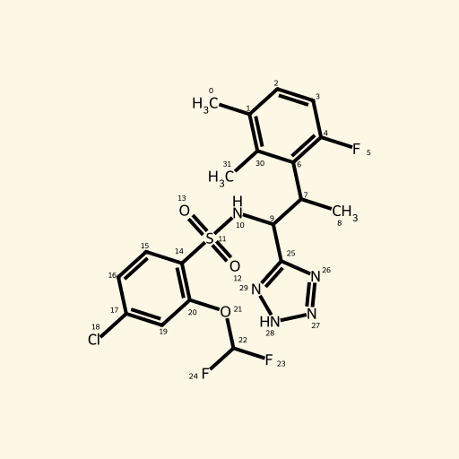 Cc1ccc(F)c(C(C)C(NS(=O)(=O)c2ccc(Cl)cc2OC(F)F)c2nn[nH]n2)c1C